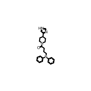 O=C(CCCN(c1ccccc1)c1ccccc1)N1CCC(c2c[nH]cn2)CC1